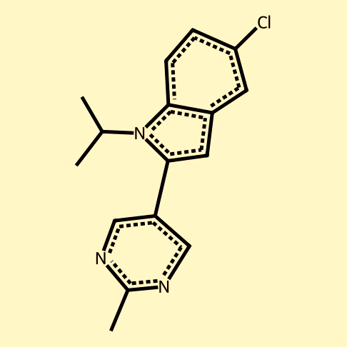 Cc1ncc(-c2cc3cc(Cl)ccc3n2C(C)C)cn1